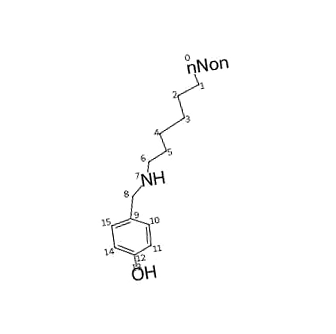 CCCCCCCCCCCCCCCNCc1ccc(O)cc1